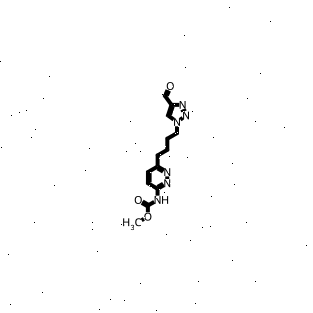 COC(=O)Nc1ccc(CCCCn2cc(C=O)nn2)nn1